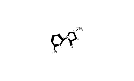 CC(C)c1cccc(N2C[C@H](N)CC2=O)n1